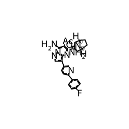 CC(=O)c1c([C@@H]2C[C@H]3CC[C@@H](C2)N3C(N)=O)nc2c(-c3ccc(-c4ccc(F)cc4)nc3)cnn2c1N